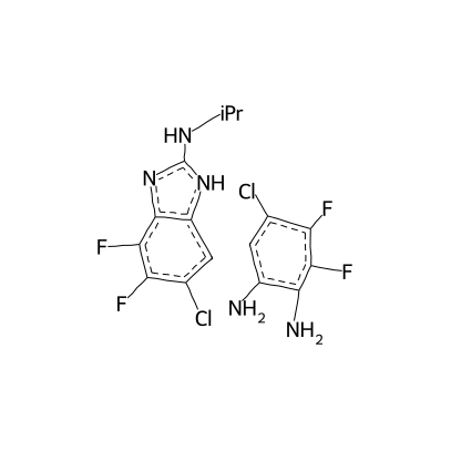 CC(C)Nc1nc2c(F)c(F)c(Cl)cc2[nH]1.Nc1cc(Cl)c(F)c(F)c1N